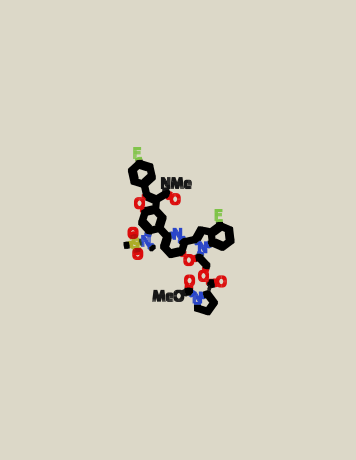 CNC(=O)c1c(-c2ccc(F)cc2)oc2cc(N(C)S(C)(=O)=O)c(-c3ccc4c(n3)-c3cc5c(F)cccc5n3C(COC(=O)[C@@H]3CCCN3C(=O)OC)O4)cc12